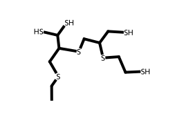 CCSCC(SCC(CS)SCCS)C(S)S